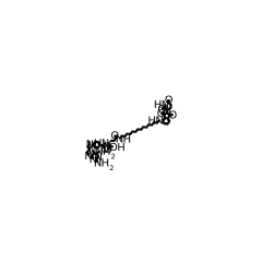 CN(Cc1cnc2nc(N)nc(N)c2n1)c1ccc(C(=O)N[C@@H](CCC(=O)NCCCCCCCCCCCCCCNc2cccc3c2C(=O)N(C2CCC(=O)NC2=O)C3=O)C(=O)O)cc1